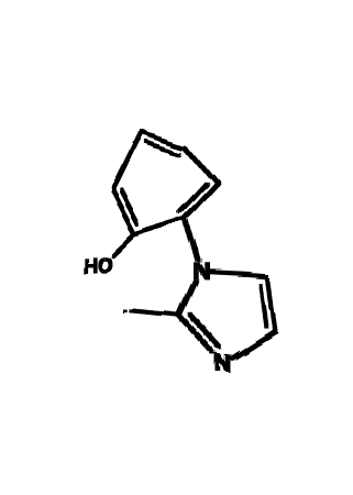 [CH2]c1nccn1-c1ccccc1O